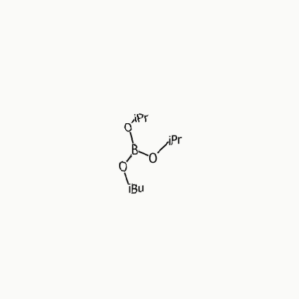 CCC(C)OB(OC(C)C)OC(C)C